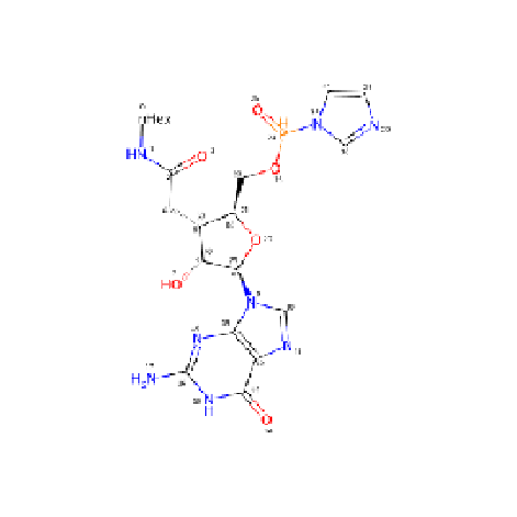 CCCCCCNC(=O)C[C@H]1[C@@H](O)[C@H](n2cnc3c(=O)[nH]c(N)nc32)O[C@@H]1CO[PH](=O)n1ccnc1